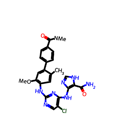 CNC(=O)c1ccc(-c2cc(OC)c(Nc3ncc(Cl)c(Nc4nc[nH]c4C(N)=O)n3)cc2C)cc1